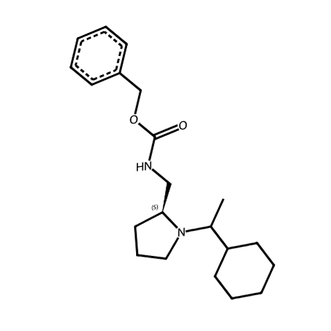 CC(C1CCCCC1)N1CCC[C@H]1CNC(=O)OCc1ccccc1